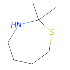 CC1(C)NCCCCS1